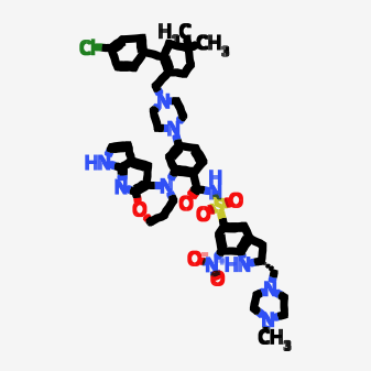 CN1CCN(C[C@H]2Cc3cc(S(=O)(=O)NC(=O)c4ccc(N5CCN(CC6=C(c7ccc(Cl)cc7)CC(C)(C)CC6)CC5)cc4N4CCCOc5nc6[nH]ccc6cc54)cc([N+](=O)[O-])c3N2)CC1